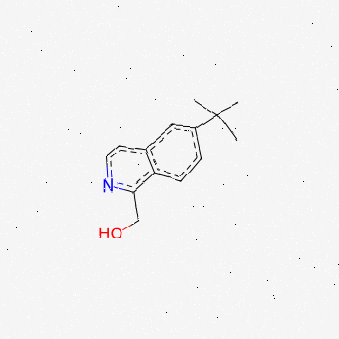 CC(C)(C)c1ccc2c(CO)nccc2c1